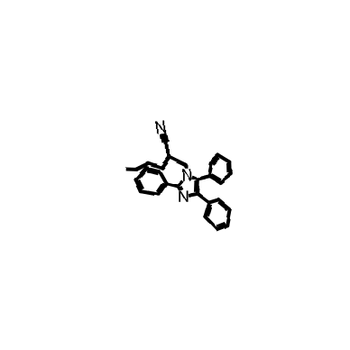 CCCCC(C#N)Cn1c(-c2ccccc2)nc(-c2ccccc2)c1-c1ccccc1